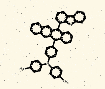 Cc1ccc(N(c2ccc(C)cc2)c2ccc(-c3c4ccccc4c(-c4cccc5c4oc4ccccc45)c4cc5ccccc5cc34)cc2)cc1